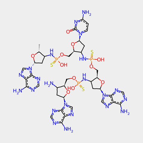 C[C@H]1O[C@@H](n2cnc3c(N)ncnc32)CC1NP(O)(=S)OC[C@H]1O[C@@H](n2ccc(N)nc2=O)CC1NP(O)(=S)OC[C@H]1O[C@@H](n2cnc3c(N)ncnc32)CC1NP(O)(=S)OC[C@H]1O[C@@H](n2cnc3c(N)ncnc32)CC1N